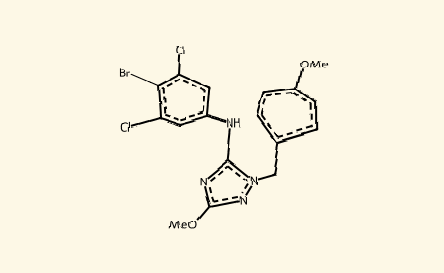 COc1ccc(Cn2nc(OC)nc2Nc2cc(Cl)c(Br)c(Cl)c2)cc1